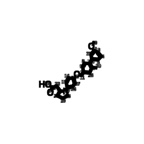 COc1cccc(-c2ccc(COc3ccc(N4CCCC4CC(=O)O)cc3)cc2C)c1